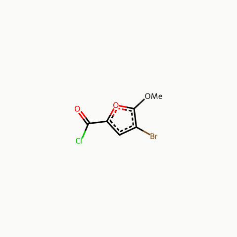 COc1oc(C(=O)Cl)cc1Br